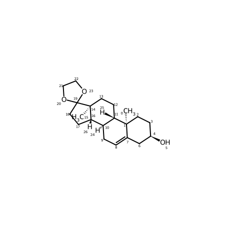 C[C@]12CC[C@@H](O)CC1=CC[C@@H]1[C@@H]2CC[C@@]2(C)[C@H]1CCC21OCCO1